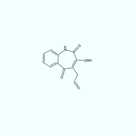 C=CCc1c(OC)c(=O)[nH]c2ccccc2c1=O